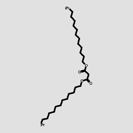 CC(C)CCCCCCCCCCCCOC(=O)CC(=O)OCCCCCCCCCCCCC(C)C